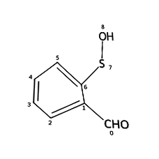 O=Cc1ccccc1SO